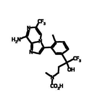 Cc1ccc(C(O)(CCN(C)C(=O)O)C(F)(F)F)cc1-c1cnc2c(N)nc(C(F)(F)F)cn12